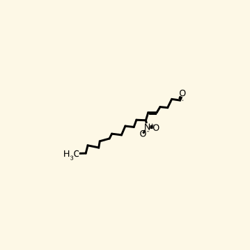 CCCCCCCCCCCC(/C=C/CCC[C]=O)[N+](=O)[O-]